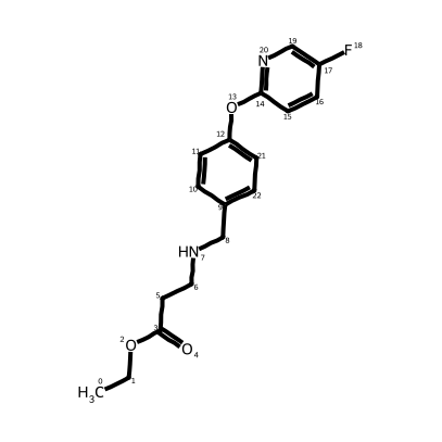 CCOC(=O)CCNCc1ccc(Oc2ccc(F)cn2)cc1